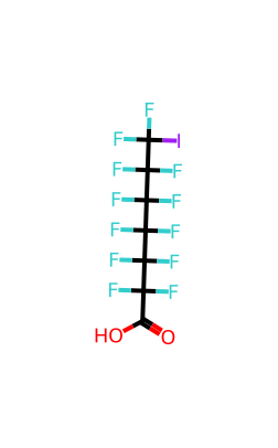 O=C(O)C(F)(F)C(F)(F)C(F)(F)C(F)(F)C(F)(F)C(F)(F)I